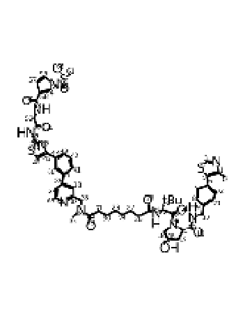 Cc1ncsc1-c1ccc(CNC(=O)[C@@H]2C[C@@H](O)CN2C(=O)[C@@H](NC(=O)CCCCCCC(=O)N(C)Cc2cc(-c3cccc(-c4csc(NC(=O)CNC(=O)c5ccn(S(C)(=O)=O)c5)n4)c3)ccn2)C(C)(C)C)cc1